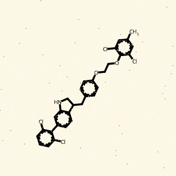 Cc1cc(Cl)c(OCCOc2ccc(CC3CNc4cc(-c5c(Cl)cccc5Cl)ccc43)cc2)c(Cl)c1